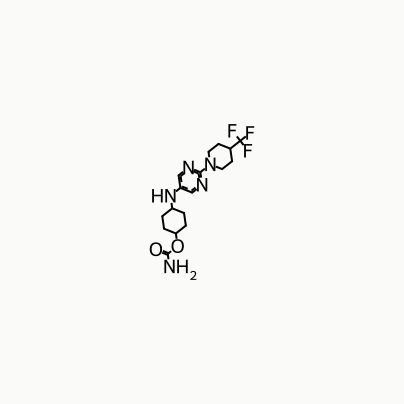 NC(=O)OC1CCC(Nc2cnc(N3CCC(C(F)(F)F)CC3)nc2)CC1